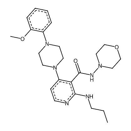 CCCNc1nccc(N2CCN(c3ccccc3OC)CC2)c1C(=O)NN1CCOCC1